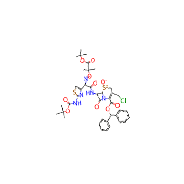 CC(C)(C)OC(=O)Nc1nc(/C(=N/OC(C)(C)C(=O)OC(C)(C)C)C(=O)N[C@@H]2C(=O)N3C(C(=O)OC(c4ccccc4)c4ccccc4)=C(CCl)C[S+]([O-])C23)cs1